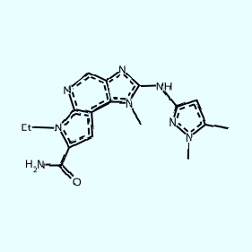 CCn1c(C(N)=O)cc2c3c(cnc21)nc(Nc1cc(C)n(C)n1)n3C